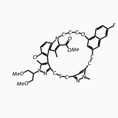 COCC(COC)n1nc2c(c1C)-c1c(Cl)ccc3c1c(C)c(C(=O)OC)n3CCCOc1cc(cc3cc(F)ccc13)CCc1cc(nn1C)CSC2